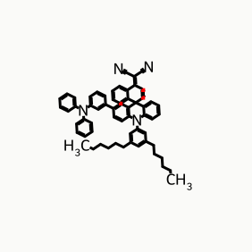 CCCCCCc1cc(CCCCCC)cc(N2c3ccccc3C3(c4ccccc4C(=C(C#N)C#N)c4ccccc43)c3cc(-c4cccc(N(c5ccccc5)c5ccccc5)c4)ccc32)c1